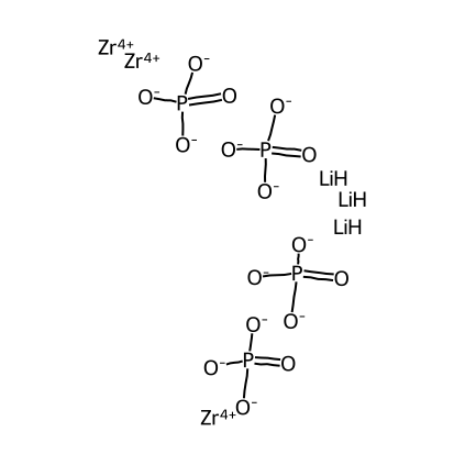 O=P([O-])([O-])[O-].O=P([O-])([O-])[O-].O=P([O-])([O-])[O-].O=P([O-])([O-])[O-].[LiH].[LiH].[LiH].[Zr+4].[Zr+4].[Zr+4]